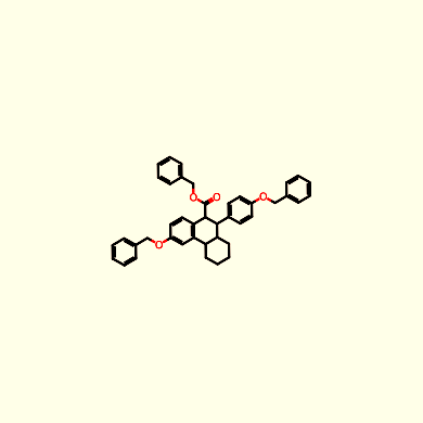 O=C(OCc1ccccc1)C1c2ccc(OCc3ccccc3)cc2C2CCCCC2C1c1ccc(OCc2ccccc2)cc1